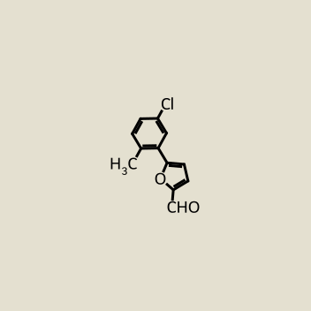 Cc1ccc(Cl)cc1-c1ccc(C=O)o1